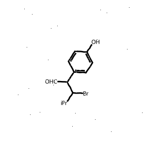 CC(C)C(Br)C(C=O)c1ccc(O)cc1